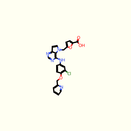 O=C(O)c1ccc(Cn2ccc3ncnc(Nc4ccc(OCc5ccccn5)c(Cl)c4)c32)o1